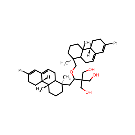 CC(C)C1=CC2=CCC3[C@@](C)(COC(C[C@@]4(C)CCC[C@@]5(C)C4CC=C4C=C(C(C)C)CC[C@H]45)C(CO)(CO)CO)CCC[C@]3(C)[C@@H]2CC1